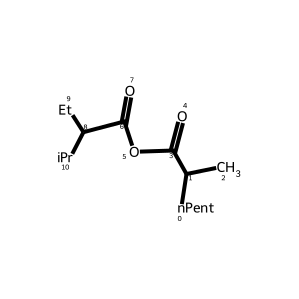 CCCCCC(C)C(=O)OC(=O)C(CC)C(C)C